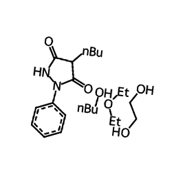 CCCCC1C(=O)NN(c2ccccc2)C1=O.CCCCO.CCOCC.OCCO